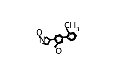 CCc1ccccc1-c1ccc(C2CCN(C=O)C2)c(C=O)c1